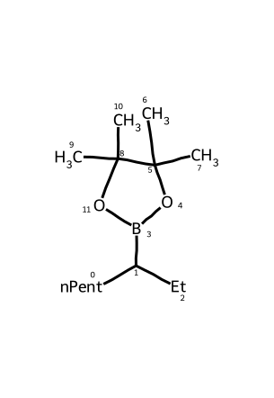 CCCCCC(CC)B1OC(C)(C)C(C)(C)O1